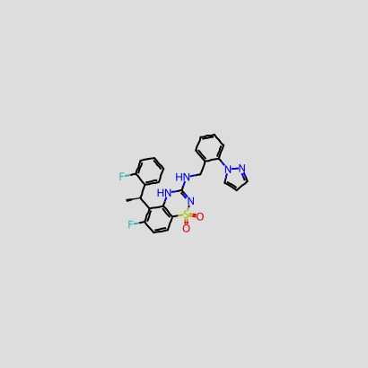 C[C@@H](c1ccccc1F)c1c(F)ccc2c1NC(NCc1ccccc1-n1cccn1)=NS2(=O)=O